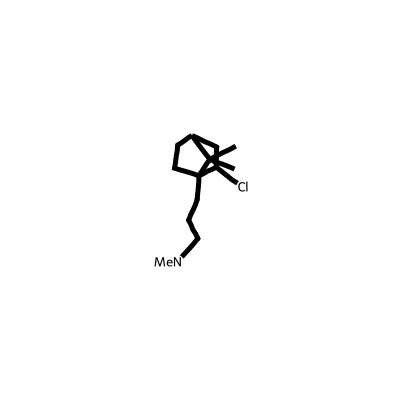 CNCCCC12CCC(CC1Cl)C2(C)C